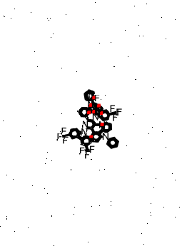 N#Cc1c(-c2cccc3c2c2ccccc2n3-c2ccccc2)c(-n2c3ccc(C(F)(F)F)cc3c3cc(C(F)(F)F)ccc32)nc(-c2cccc3c2c2ccccc2n3-c2ccccc2)c1-n1c2ccc(C(F)(F)F)cc2c2cc(C(F)(F)F)ccc21